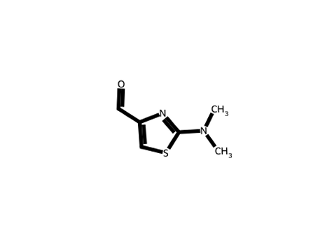 CN(C)c1nc(C=O)cs1